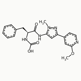 COc1cc(-c2cc(NC(=O)[C@H](Cc3ccccc3)NC(=O)O)n(C)n2)ccn1